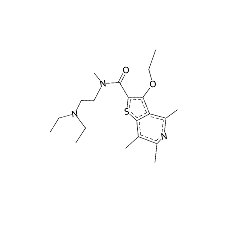 CCOc1c(C(=O)N(C)CCN(CC)CC)sc2c(C)c(C)nc(C)c12